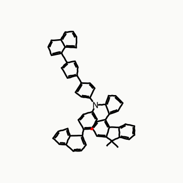 CC1(C)c2ccccc2-c2c(-c3ccccc3N(c3ccc(-c4ccc(-c5cccc6ccccc56)cc4)cc3)c3ccc(-c4cccc5ccccc45)cc3)cccc21